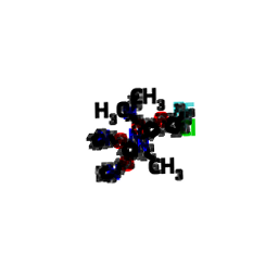 CCCCn1c(-c2ccc(Oc3ccc(Cl)c(C(F)(F)F)c3)cc2OCCN(C)CCC)nc2c(OCCN3CCCC3)cc(OCCN3CCCC3)cc21